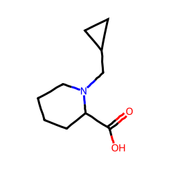 O=C(O)C1CCCCN1CC1CC1